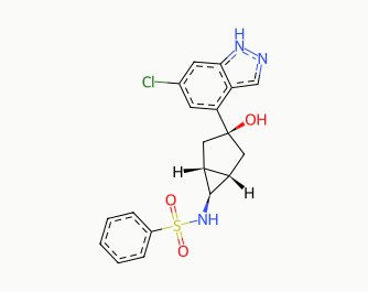 O=S(=O)(N[C@H]1[C@@H]2C[C@](O)(c3cc(Cl)cc4[nH]ncc34)C[C@@H]21)c1ccccc1